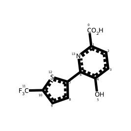 O=C(O)c1ccc(O)c(-c2ccc(C(F)(F)F)s2)n1